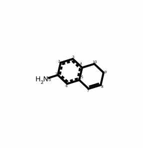 Nc1ccc2c(c1)C=CCC2